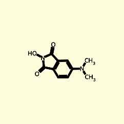 CN(C)c1ccc2c(c1)C(=O)N(O)C2=O